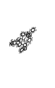 CC1(C)c2cc(-c3cc(-c4cccc(-c5nc(-c6ccccc6)nc(-c6ccccc6)n5)c4)cc4oc5ccccc5c34)ccc2-c2cc3ncsc3cc21